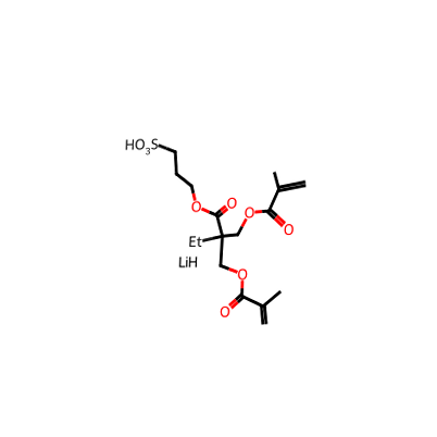 C=C(C)C(=O)OCC(CC)(COC(=O)C(=C)C)C(=O)OCCCS(=O)(=O)O.[LiH]